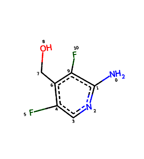 Nc1ncc(F)c(CO)c1F